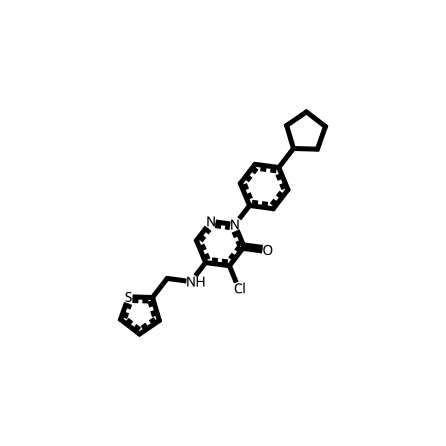 O=c1c(Cl)c(NCc2cccs2)cnn1-c1ccc(C2CCCC2)cc1